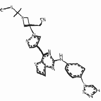 CCSC(C)(C)N1CC(CC#N)(n2cc(-c3nc(Nc4ccc(-n5cnnn5)cc4)nc4ccsc34)cn2)C1